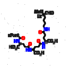 CCCCCC(=O)N[C@@H](CCC(=O)N[C@@H](CCC(=O)N[C@@H](CCC(=O)NCCCC[C@](C=O)(CC)NC)C(=O)O)C(=O)O)C(=O)O